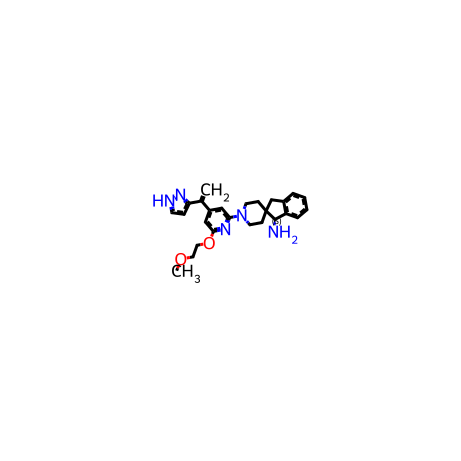 C=C(c1cc(OCCOC)nc(N2CCC3(CC2)Cc2ccccc2[C@H]3N)c1)c1cc[nH]n1